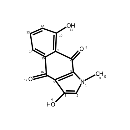 Cn1cc(O)c2c1C(=O)c1c(O)cccc1C2=O